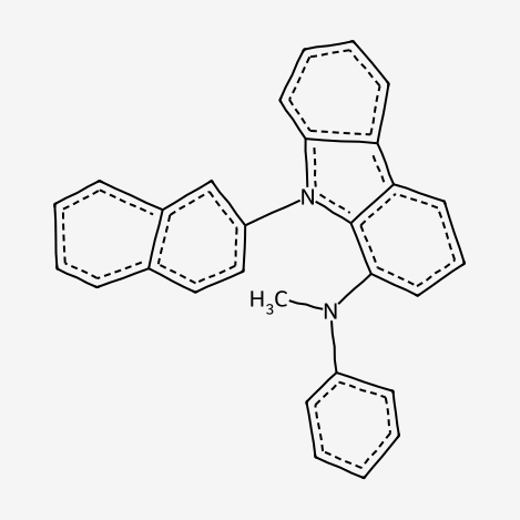 CN(c1ccccc1)c1cccc2c3ccccc3n(-c3ccc4ccccc4c3)c12